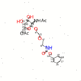 CC(=O)N[C@H]1[C@H](OCCOCCNC(=O)OCc2ccccc2)O[C@H](COC(C)=O)[C@H](O)[C@@H]1O